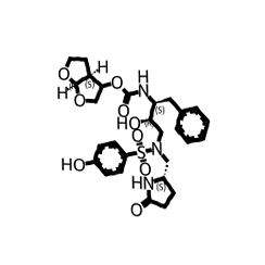 O=C1CC[C@@H](CN(C[C@@H](O)[C@H](Cc2ccccc2)NC(=O)OC2CO[C@H]3OCC[C@@H]23)S(=O)(=O)c2ccc(O)cc2)N1